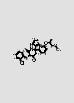 CCOCC(C)Oc1cccc(C2(c3ccsc3)CC(=O)C(Sc3ccccc3Cl)C(=O)N2)n1